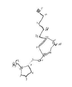 CN1CCC[C@H]1COc1cncc(CCCCBr)c1